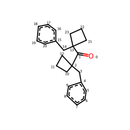 O=C(C1(Cc2ccccc2)CCC1)C1(Cc2ccccc2)CCC1